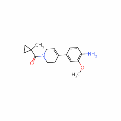 COc1cc(C2=CCN(C(=O)C3(C)CC3)CC2)ccc1N